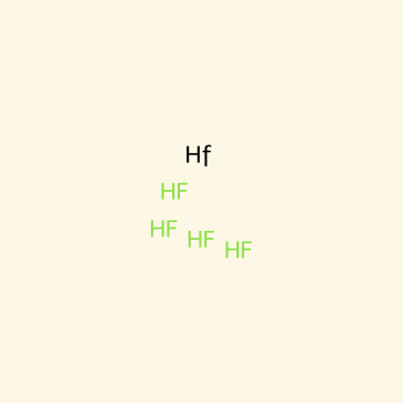 F.F.F.F.[Hf]